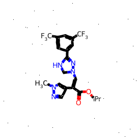 CC(C)OC(=O)/C(=C/N1CNC(c2cc(C(F)(F)F)cc(C(F)(F)F)c2)=N1)c1cnn(C)c1